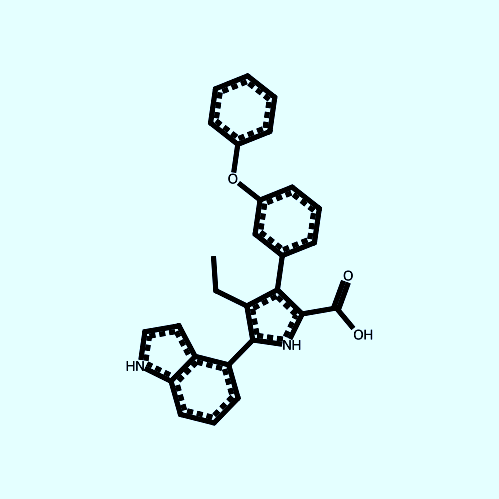 CCc1c(-c2cccc3[nH]ccc23)[nH]c(C(=O)O)c1-c1cccc(Oc2ccccc2)c1